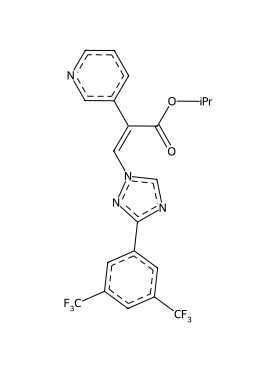 CC(C)OC(=O)/C(=C\n1cnc(-c2cc(C(F)(F)F)cc(C(F)(F)F)c2)n1)c1cccnc1